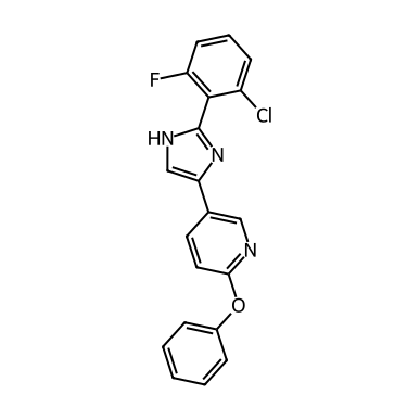 Fc1cccc(Cl)c1-c1nc(-c2ccc(Oc3ccccc3)nc2)c[nH]1